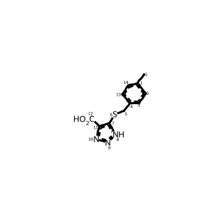 Cc1ccc(CSc2[nH]nnc2C(=O)O)cc1